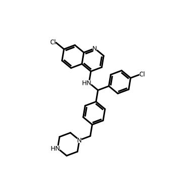 Clc1ccc(C(Nc2ccnc3cc(Cl)ccc23)c2ccc(CN3CCNCC3)cc2)cc1